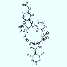 Cc1cccc(C)c1-c1cc2nc(n1)NS(=O)(=O)c1cccc(c1)C(=O)N(Cc1ncc(OC(C)(C)C)cn1)[C@H](CC(C)C)CO2